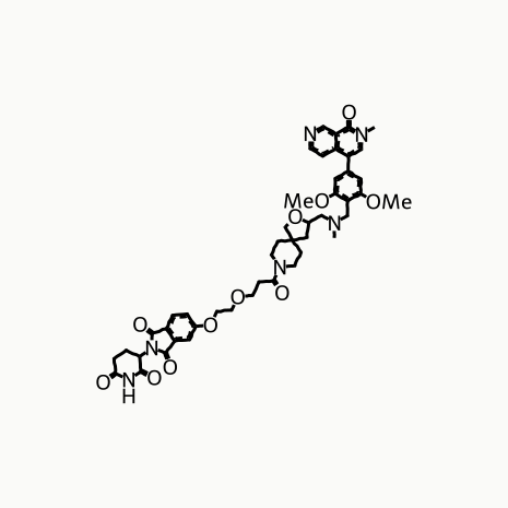 COc1cc(-c2cn(C)c(=O)c3cnccc23)cc(OC)c1CN(C)CC1CC2(CCN(C(=O)CCOCCOc3ccc4c(c3)C(=O)N(C3CCC(=O)NC3=O)C4=O)CC2)CO1